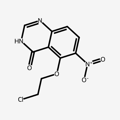 O=c1[nH]cnc2ccc([N+](=O)[O-])c(OCCCl)c12